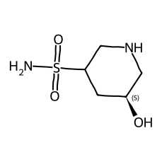 NS(=O)(=O)C1CNC[C@@H](O)C1